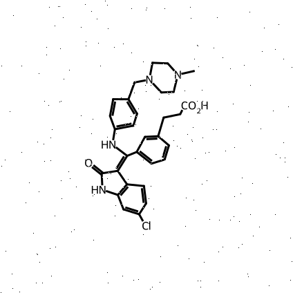 CN1CCN(Cc2ccc(N/C(=C3\C(=O)Nc4cc(Cl)ccc43)c3cccc(CCC(=O)O)c3)cc2)CC1